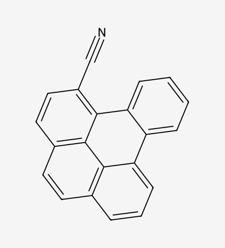 N#Cc1ccc2ccc3cccc4c5ccccc5c1c2c34